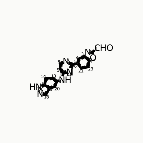 O=Cc1nc2cc(-c3nccc(Nc4ccc5[nH]ncc5c4)n3)ccc2o1